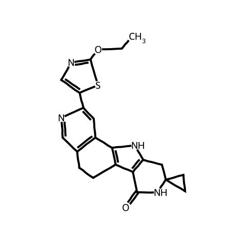 CCOc1ncc(-c2cc3c(cn2)CCc2c-3[nH]c3c2C(=O)NC2(CC2)C3)s1